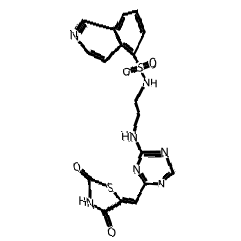 O=C1NC(=O)C(=Cc2ncnc(NCCNS(=O)(=O)c3cccc4cnccc34)n2)S1